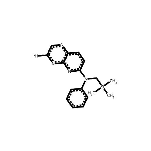 [2H]c1cnc2ccc(N(C[Si](C)(C)C)c3ccccc3)nc2n1